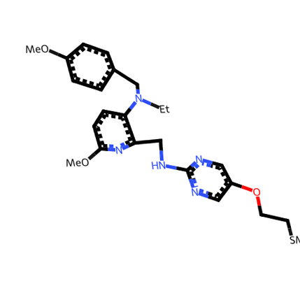 CCN(Cc1ccc(OC)cc1)c1ccc(OC)nc1CNc1ncc(OCCSC)cn1